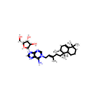 C/C(=C\C[n+]1cnc2c(ncn2[C@@H]2O[C@H](CO)[C@H](O)C2O)c1N)CC[C@@]1(C)[C@@H]2CCCC(C)(C)C2=CC[C@@H]1C